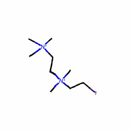 C[N+](C)(C)CC[N+](C)(C)CCI